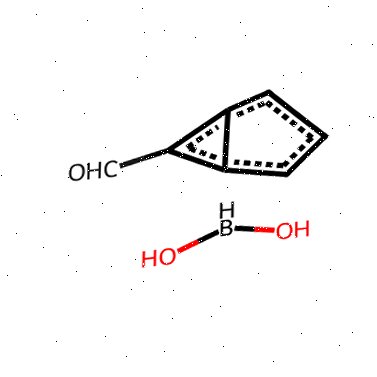 O=Cc1c2cccc1-2.OBO